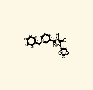 O=c1[nH]c(C2CCCN(CC3CCCCC3)C2)nn1C1=COCO1